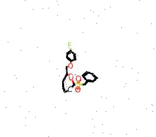 O=S(=O)(Cc1ccccc1)C1CCCCC(COc2ccc(F)cc2)O1